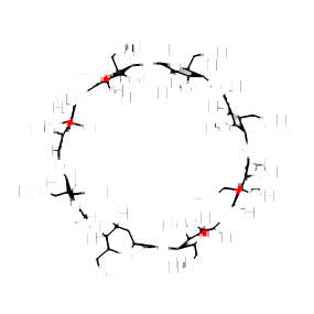 CCC1O[C@@H]2C[C@@H](O)[C@@H]1O[C@H]1OC(C)[C@@H](O[C@H]3OC(CO)[C@@H](O[C@H]4OC(CO)[C@@H](O[C@@H]5OC(CO)[C@@H](O[C@H]6OC(CO)[C@@H](O[C@@H]7OC(CO)[C@@H](O[C@@H]8C[C@@H](O)[C@H](O2)C(CO)O8)C(O)[C@@H]7O)C(O)[C@@H]6O)C(O)[C@@H]5O)C(O)[C@@H]4O)[C@H](O)C3O)[C@H](O)C1O